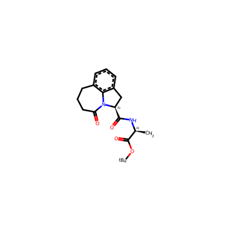 C[C@H](NC(=O)[C@@H]1Cc2cccc3c2N1C(=O)CCC3)C(=O)OC(C)(C)C